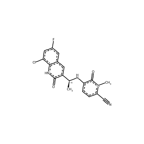 C[C@H](Nc1ccc(C#N)n(C)c1=O)c1cc2cc(F)cc(Cl)c2[nH]c1=O